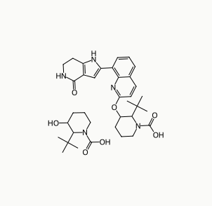 CC(C)(C)C1C(O)CCCN1C(=O)O.CC(C)(C)C1C(Oc2ccc3cccc(-c4cc5c([nH]4)CCNC5=O)c3n2)CCCN1C(=O)O